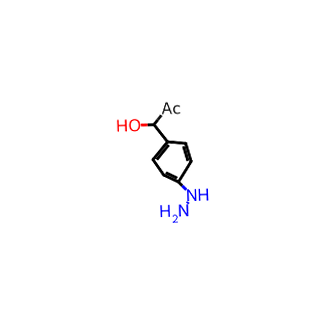 CC(=O)C(O)c1ccc(NN)cc1